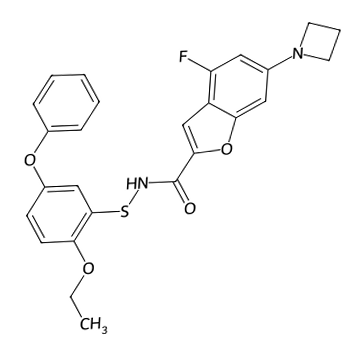 CCOc1ccc(Oc2ccccc2)cc1SNC(=O)c1cc2c(F)cc(N3CCC3)cc2o1